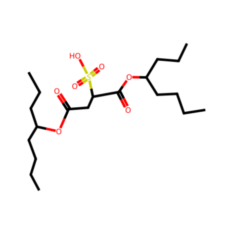 CCCCC(CCC)OC(=O)CC(C(=O)OC(CCC)CCCC)S(=O)(=O)O